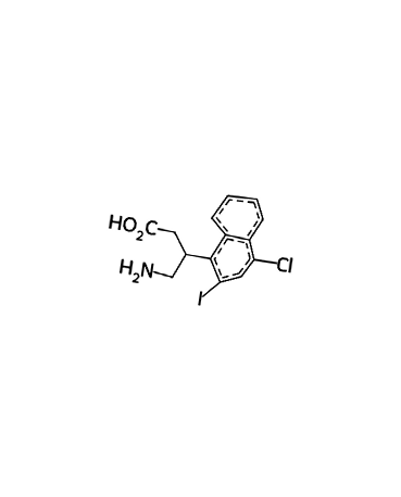 NCC(CC(=O)O)c1c(I)cc(Cl)c2ccccc12